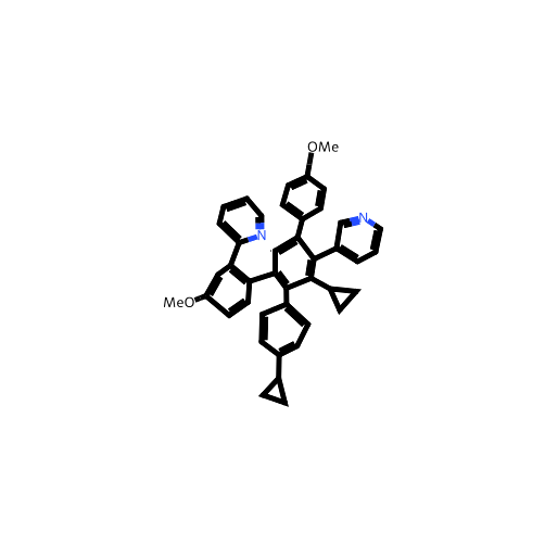 COc1ccc(-c2[c]c(-c3ccc(OC)cc3-c3ccccn3)c(-c3ccc(C4CC4)cc3)c(C3CC3)c2-c2cccnc2)cc1